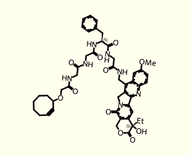 CC[C@@]1(O)C(=O)OCc2c1cc1n(c2=O)Cc2c-1nc1ccc(OC)cc1c2CNC(=O)CNC(=O)[C@H](Cc1ccccc1)NC(=O)CNC(=O)CNC(=O)COC1C#CCCCCC1